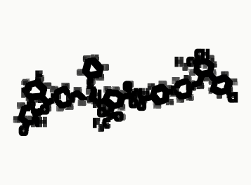 CC1(C)CCC(c2ccc(Cl)cc2)=C(CN2CCN(c3ccc(C(=O)NS(=O)(=O)c4ccc(N[C@H](CCN5CCN(Cc6cc(F)cnc6N6CCC(=O)NC6=O)CC5)CSc5ccccc5)c(S(=O)(=O)C(F)(F)F)c4)cc3)CC2)C1